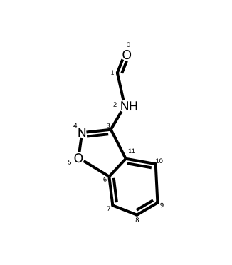 O=CNc1noc2ccccc12